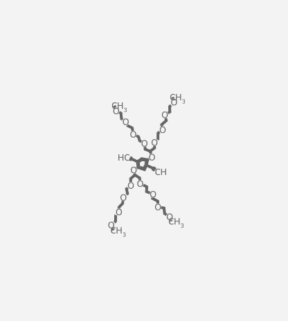 C#Cc1cc(OC(COCCOCCOCCOC)COCCOCCOCCOC)c(C#C)cc1OC(COCCOCCOCCOC)COCCOCCOCCOC